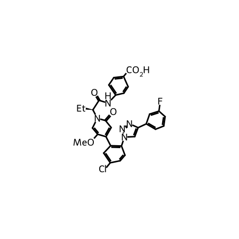 CC[C@@H](C(=O)Nc1ccc(C(=O)O)cc1)n1cc(OC)c(-c2cc(Cl)ccc2-n2cc(-c3cccc(F)c3)nn2)cc1=O